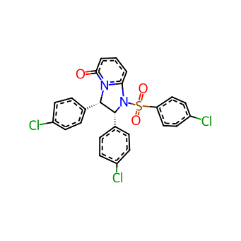 O=c1cccc2n1[C@@H](c1ccc(Cl)cc1)[C@@H](c1ccc(Cl)cc1)N2S(=O)(=O)c1ccc(Cl)cc1